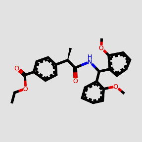 CCOC(=O)c1ccc([C@@H](C)C(=O)NC(c2ccccc2OC)c2ccccc2OC)cc1